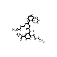 CCCCCC(CC(=O)Nc1cc(C(N)=O)ccc1CCCC)c1cccc2c1OCCO2